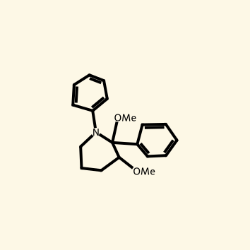 COC1CCCN(c2ccccc2)C1(OC)c1ccccc1